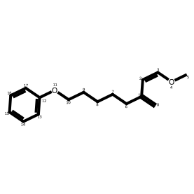 C=C(/C=C\OC)CCCCCOc1ccccc1